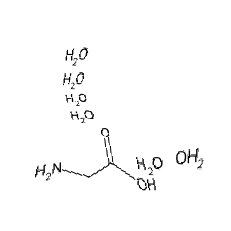 NCC(=O)O.O.O.O.O.O.O